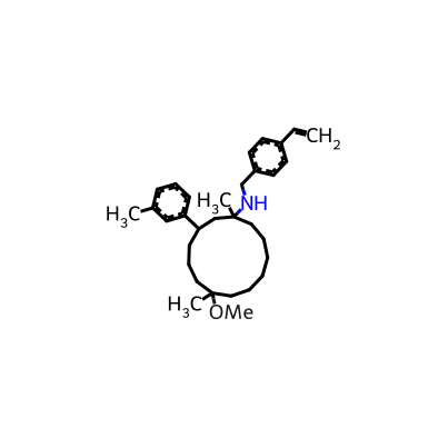 C=Cc1ccc(CNC2(C)CCCCCCC(C)(OC)CCCC(c3cccc(C)c3)C2)cc1